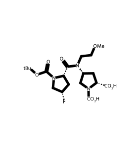 COCCN(C(=O)[C@@H]1C[C@H](F)CN1C(=O)OC(C)(C)C)[C@@H]1C[C@H](C(=O)O)N(C(=O)O)C1